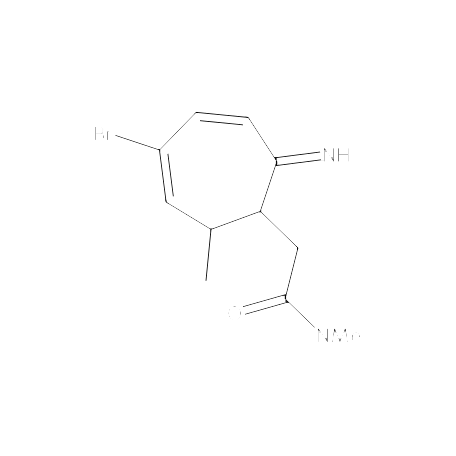 CNC(=O)CC1C(=N)C=CC(Br)=CC1C